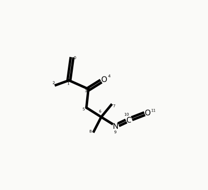 C=C(C)C(=O)CC(C)(C)N=C=O